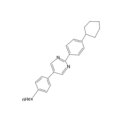 CCCCCCc1ccc(-c2cnc(-c3ccc(C4CCCCC4)cc3)nc2)cc1